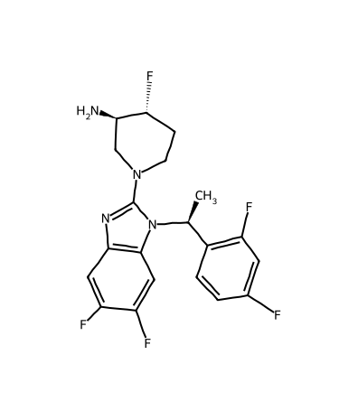 C[C@@H](c1ccc(F)cc1F)n1c(N2CC[C@@H](F)[C@H](N)C2)nc2cc(F)c(F)cc21